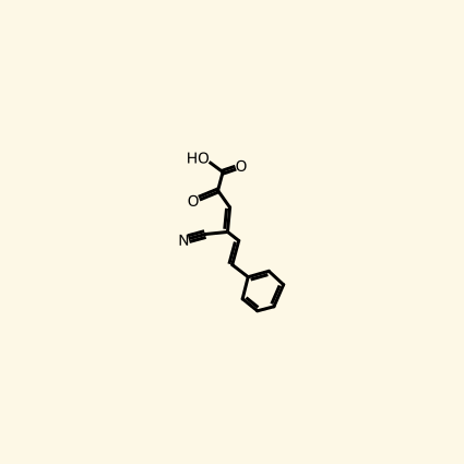 N#CC(C=Cc1ccccc1)=CC(=O)C(=O)O